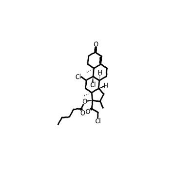 CCCCC(=O)O[C@]1(C(=O)CCl)C(C)C[C@H]2[C@@H]3CCC4=CC(=O)CC[C@]4(C)[C@@]3(Cl)C(Cl)C[C@@]21C